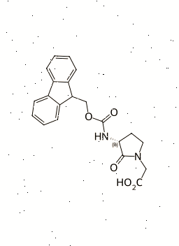 O=C(O)CN1CC[C@@H](NC(=O)OCC2c3ccccc3-c3ccccc32)C1=O